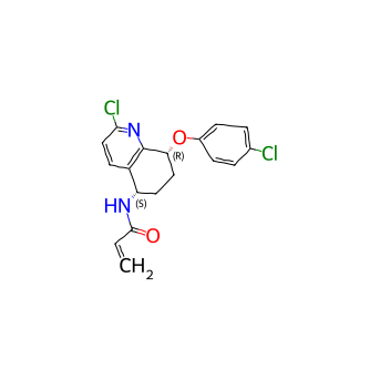 C=CC(=O)N[C@H]1CC[C@@H](Oc2ccc(Cl)cc2)c2nc(Cl)ccc21